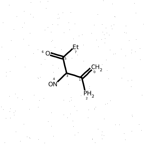 C=C(P)C(N=O)C(=O)CC